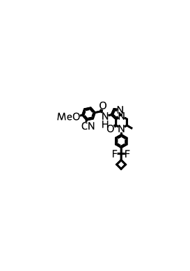 COc1ccc(C(=O)Nc2cnn3c2C(=O)N(c2ccc(C(F)(F)C4CCC4)cc2)C(C)C3)cc1C#N